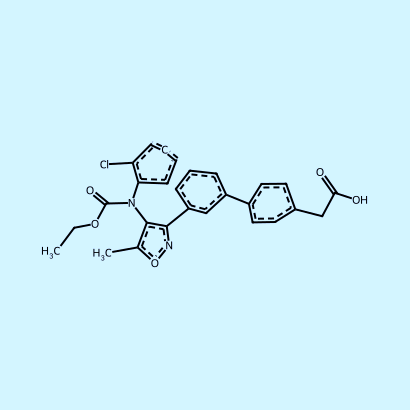 CCOC(=O)N(c1ccccc1Cl)c1c(-c2cccc(-c3ccc(CC(=O)O)cc3)c2)noc1C